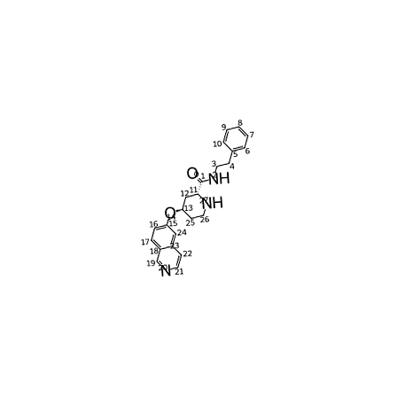 O=C(NCCc1ccccc1)[C@H]1C[C@H](Oc2ccc3cnccc3c2)CCN1